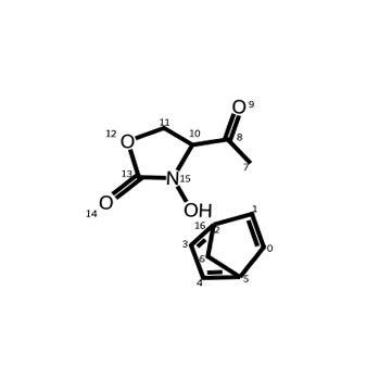 C1=CC2=CC=C1C2.CC(=O)C1COC(=O)N1O